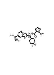 CC(C)[C@@H](N)c1cnn2cc([C@@H](NC(=O)c3ccnn3C(C)C)C3CCC(F)(F)CC3)nc2c1